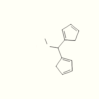 [Cl-].[Cl-].[Cl-].[Zr+3][O]C(C1=CC=CC1)C1=CC=CC1